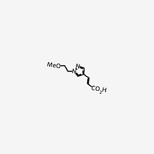 COCCn1cc(C=CC(=O)O)cn1